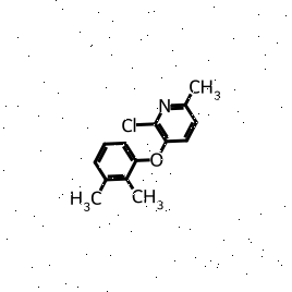 Cc1ccc(Oc2cccc(C)c2C)c(Cl)n1